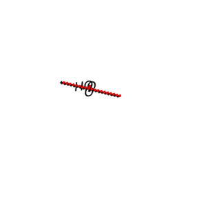 CCCCCCCCCCCCCCCCCCCC(=O)C(CCCCCCCCCCCCCCCCCC)C(=O)O